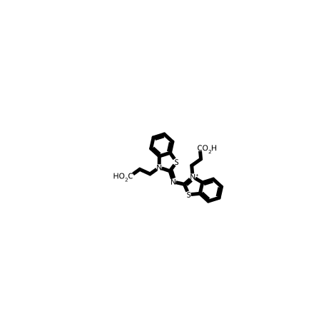 O=C(O)CCn1/c(=N/c2sc3ccccc3[n+]2CCC(=O)O)sc2ccccc21